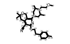 COCCN1C(C)CN(c2nc(SCCc3ccc(C)cc3)c(C#N)c3c2COC(C)(C)C3)CC1C